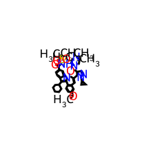 COc1ccc2c(c1)C=C(c1c(C(=O)N3C[C@@H](C)N(C)[C@@H](C)C3)cnn1C1CC1)Cn1c-2c(C2CCCCC2)c2ccc(C(=O)NS(=O)(=O)C(C)C)cc21